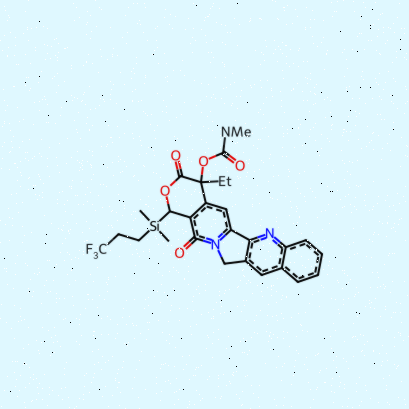 CCC1(OC(=O)NC)C(=O)OC([Si](C)(C)CCC(F)(F)F)c2c1cc1n(c2=O)Cc2cc3ccccc3nc2-1